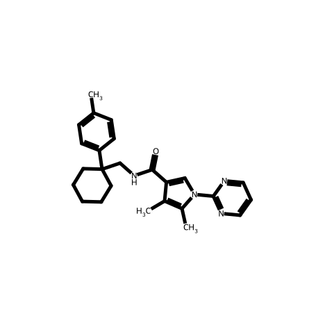 Cc1ccc(C2(CNC(=O)c3cn(-c4ncccn4)c(C)c3C)CCCCC2)cc1